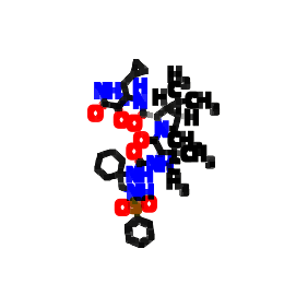 CC(C)(C)[C@H](NC(=O)NC1(CNS(=O)(=O)c2ccccc2)CCCCC1)C(=O)N1C[C@H]2[C@@H]([C@H]1C(=O)NC(CC1CC1)C(=O)C(N)=O)C2(C)C